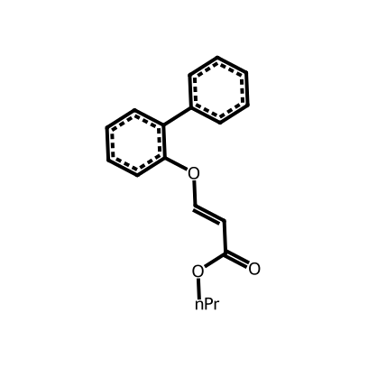 CCCOC(=O)C=COc1ccccc1-c1ccccc1